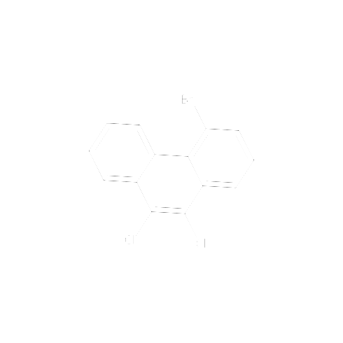 Clc1c(Cl)c2cccc(Br)c2c2ccccc12